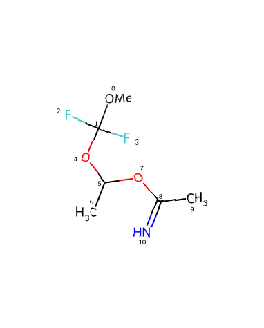 COC(F)(F)OC(C)OC(C)=N